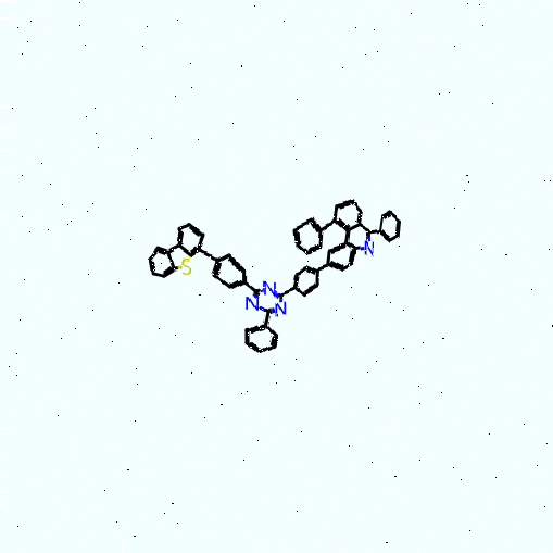 c1ccc(-c2nc(-c3ccc(-c4ccc5nc(-c6ccccc6)c6cccc(-c7ccccc7)c6c5c4)cc3)nc(-c3ccc(-c4cccc5c4sc4ccccc45)cc3)n2)cc1